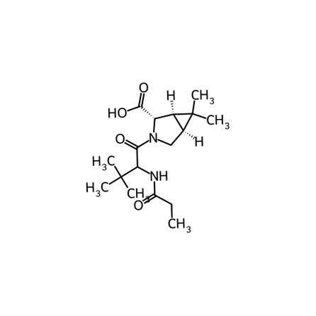 CCC(=O)NC(C(=O)N1C[C@H]2[C@@H]([C@H]1C(=O)O)C2(C)C)C(C)(C)C